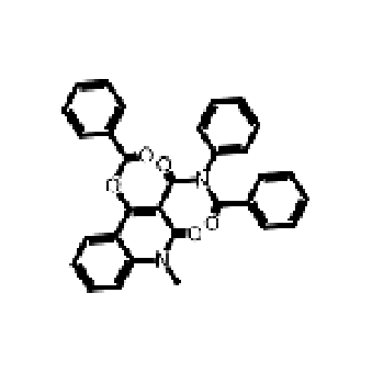 Cn1c(=O)c(C(=O)N(C(=O)c2ccccc2)c2ccccc2)c(OC(=O)c2ccccc2)c2ccccc21